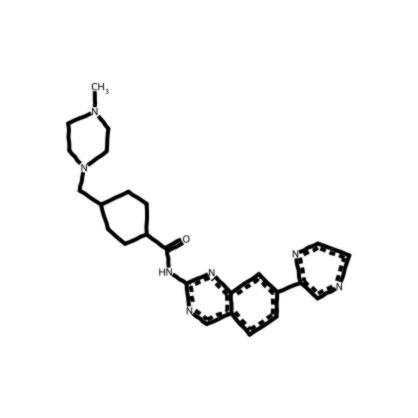 CN1CCN(CC2CCC(C(=O)Nc3ncc4ccc(-c5cnccn5)cc4n3)CC2)CC1